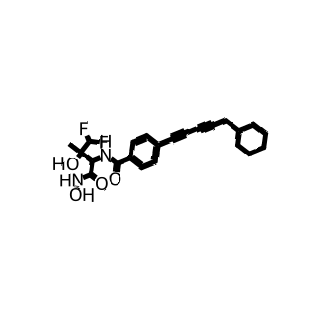 CC(O)(C(F)F)C(NC(=O)c1ccc(C#CC#CCC2CCCCC2)cc1)C(=O)NO